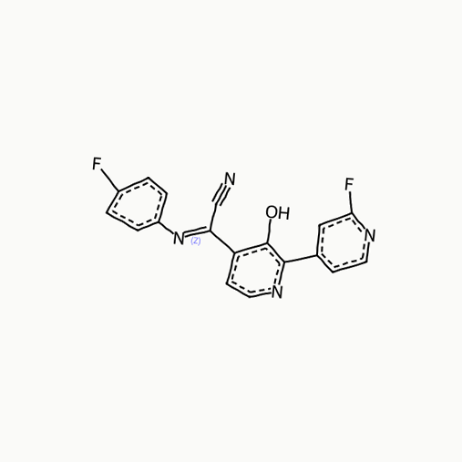 N#C/C(=N\c1ccc(F)cc1)c1ccnc(-c2ccnc(F)c2)c1O